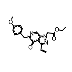 C=Cc1nn(CC(=O)OCC)c2cnn(Cc3ccc(OC)cc3)c(=O)c12